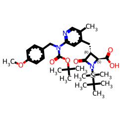 COc1ccc(CN(C(=O)OC(C)(C)C)c2cc(C[C@H]3C(=O)N([Si](C)(C)C(C)(C)C)[C@@H]3C(=O)O)c(C)cn2)cc1